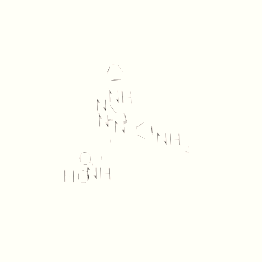 Nc1ccc(-c2cc3c(NCc4ccccc4)ncnc3n2CCCCCC(=O)NO)cc1